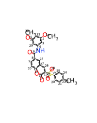 COc1cc(NC(=O)c2ccc3oc(=O)c(S(=O)(=O)c4ccc(C)cc4)cc3c2)cc(OC)c1